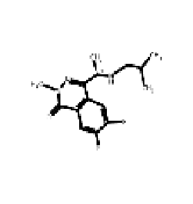 CC(C)CN[C@H](C)c1nn(C)c(=O)c2cc(F)c(F)cc12